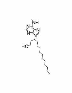 CCCCCCCCCCCC(CCO)n1cnc2c(NC)ncnc21